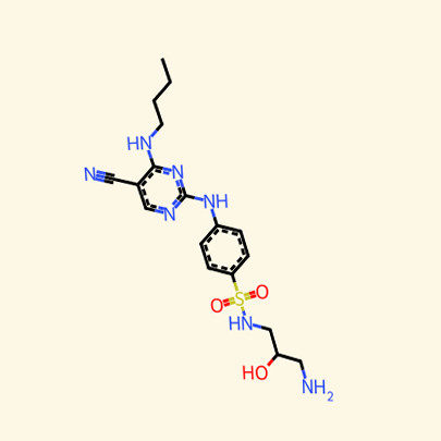 CCCCNc1nc(Nc2ccc(S(=O)(=O)NCC(O)CN)cc2)ncc1C#N